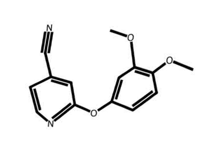 COc1ccc(Oc2cc(C#N)ccn2)cc1OC